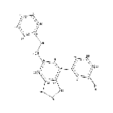 Fc1cc(-c2cc(OCc3ccccn3)nc3c2CCC3)ccn1